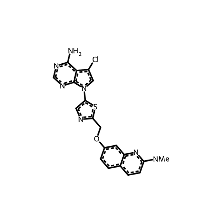 CNc1ccc2ccc(OCc3ncc(-n4cc(Cl)c5c(N)ncnc54)s3)cc2n1